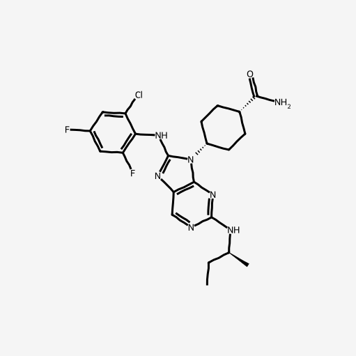 CC[C@H](C)Nc1ncc2nc(Nc3c(F)cc(F)cc3Cl)n([C@H]3CC[C@@H](C(N)=O)CC3)c2n1